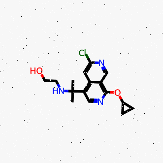 CC(C)(NCCO)c1cnc(OC2CC2)c2cnc(Cl)cc12